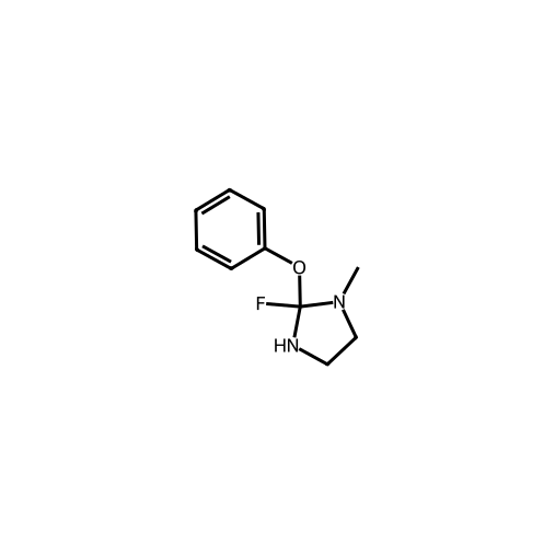 CN1CCNC1(F)Oc1ccccc1